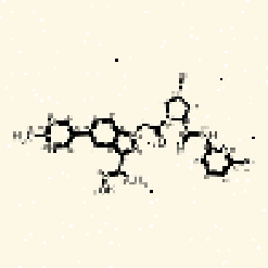 CC(=NO)c1nn(CC(=O)N2C[C@H](F)C[C@H]2C(=O)Nc2cccc(Br)n2)c2ccc(-c3cnc(C)nc3)cc12